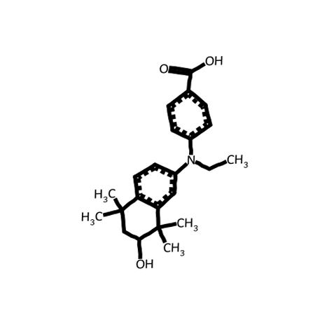 CCN(c1ccc(C(=O)O)cc1)c1ccc2c(c1)C(C)(C)C(O)CC2(C)C